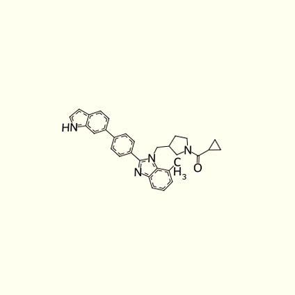 Cc1cccc2nc(-c3ccc(-c4ccc5cc[nH]c5c4)cc3)n(CC3CCN(C(=O)C4CC4)C3)c12